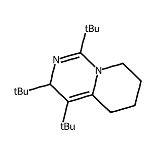 CC(C)(C)C1=NC(C(C)(C)C)C(C(C)(C)C)=C2CCCCN12